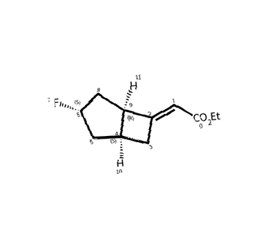 CCOC(=O)C=C1C[C@H]2C[C@H](F)C[C@@H]12